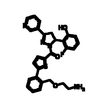 NCCOCc1ccccc1-c1ccc(C(=O)N2N=C(c3cccnc3)CC2c2c(O)cccc2F)s1